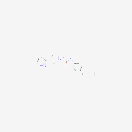 O=C(CN1CCC(c2ccccn2)CC1)Nc1ccc(C(=O)O)cc1